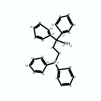 PC(CCP(c1ccccc1)c1ccccc1)(c1ccccc1)c1ccccc1